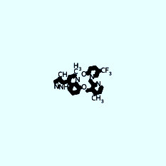 Cc1cc(-c2[nH]ncc2C)c2cccc(OCc3c(C)ccnc3Cn3cc(C(F)(F)F)ccc3=O)c2n1